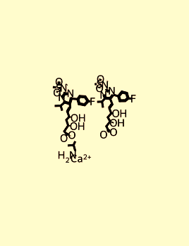 CC(C)CN.CC(C)c1nc(N(C)S(C)(=O)=O)nc(-c2ccc(F)cc2)c1C=C[C@@H](O)C[C@@H](O)CC(=O)[O-].CC(C)c1nc(N(C)S(C)(=O)=O)nc(-c2ccc(F)cc2)c1C=C[C@@H](O)C[C@@H](O)CC(=O)[O-].[Ca+2]